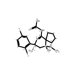 CNS1(O)C[C@@](C)(c2cc(I)ccc2F)N=C(NC(=O)O)C12CCCC2